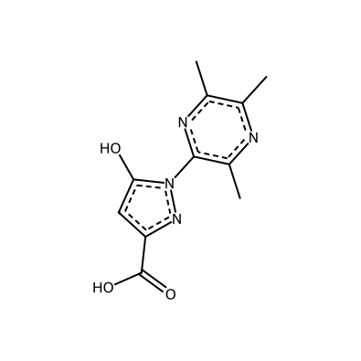 Cc1nc(C)c(-n2nc(C(=O)O)cc2O)nc1C